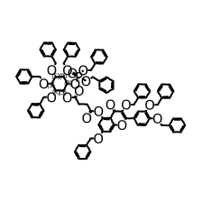 O=C(CCC(=O)O[C@H]1[C@H](OCc2ccccc2)[C@@H](OCc2ccccc2)[C@H](OCc2ccccc2)[C@@H](OCc2ccccc2)[C@H]1OP(=O)(OCc1ccccc1)OCc1ccccc1)Oc1cc(OCc2ccccc2)cc2oc(-c3ccc(OCc4ccccc4)c(OCc4ccccc4)c3)c(OCc3ccccc3)c(=O)c12